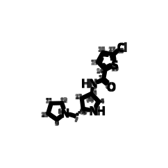 O=C(N[C@H]1CN[C@H](CN2CCCC2)C1)c1ccc(Cl)s1